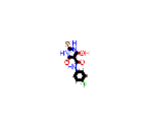 O=C(Nc1ccc(F)cc1)c1c(O)[nH]c(=S)[nH]c1=O